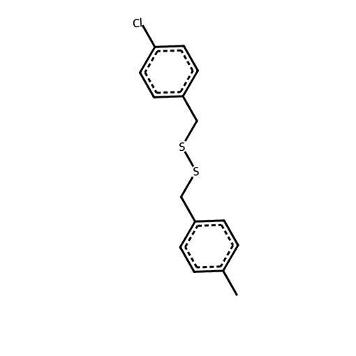 Cc1ccc(CSSCc2ccc(Cl)cc2)cc1